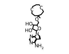 CC1(OCC2OC(n3ccc4c(N)ncnc43)C(O)C2O)CCCCCCCCC1